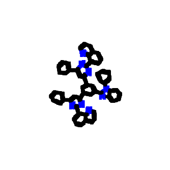 c1ccc(-c2cc(-c3cc(-c4cc(-c5ccccc5)nc(-c5cccc6cccnc56)n4)cc(-c4nc5ccccc5n4-c4ccccc4)c3)nc(-c3cccc4cccnc34)n2)cc1